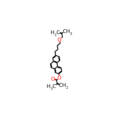 C=C(C)COCCCCc1ccc2c(ccc3cc(OC(=O)C(=C)C)ccc32)c1